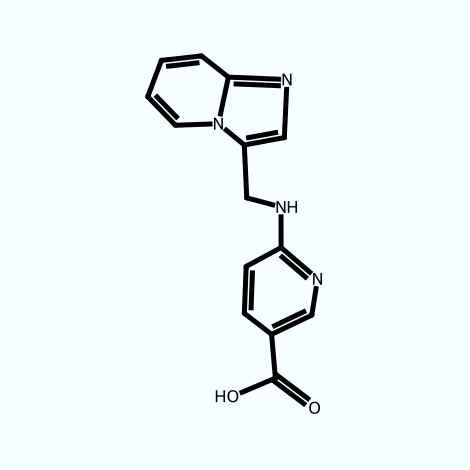 O=C(O)c1ccc(NCc2cnc3ccccn23)nc1